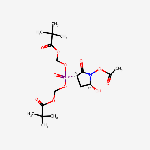 CC(=O)ON1C(=O)[C@@H](P(=O)(OCOC(=O)C(C)(C)C)OCOC(=O)C(C)(C)C)C[C@@H]1O